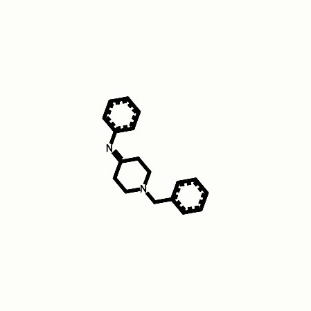 c1ccc(CN2CCC(=Nc3ccccc3)CC2)cc1